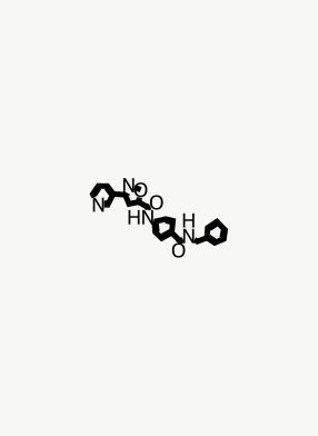 O=C(NCc1ccccc1)c1ccc(NC(=O)C2CC(c3cccnc3)=NO2)cc1